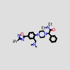 CCN(CC)C(=O)C(c1ccccc1)N1CCN(c2ccc(-c3nc(C(C)C)no3)cc2CN(C)C)CC1